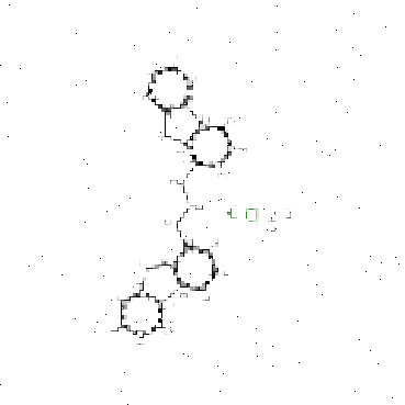 [Cl-].[Cl-].[Zr+2].c1ccc2c(c1)Cc1c(CCCc3cccc4c3Cc3ccccc3-4)cccc1-2